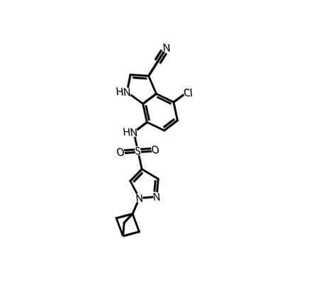 N#Cc1c[nH]c2c(NS(=O)(=O)c3cnn(C45CC(C4)C5)c3)ccc(Cl)c12